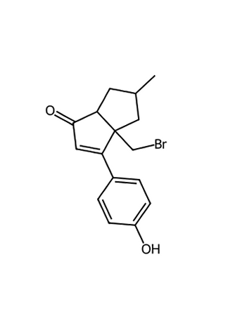 CC1CC2C(=O)C=C(c3ccc(O)cc3)C2(CBr)C1